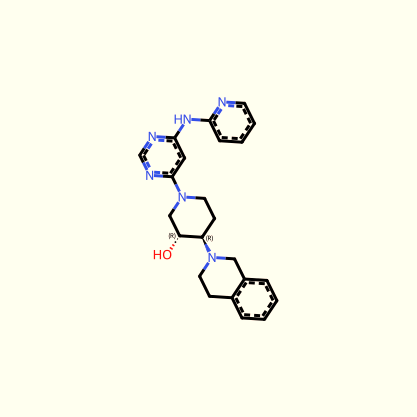 O[C@@H]1CN(c2cc(Nc3ccccn3)ncn2)CC[C@H]1N1CCc2ccccc2C1